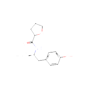 O=C(N[C@@H](Cc1ccc(O)cc1)C(=O)O)C1CCCO1